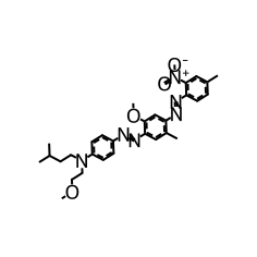 COCCN(CCC(C)C)c1ccc(N=Nc2cc(C)c(N=Nc3ccc(C)cc3[N+](=O)[O-])cc2OC)cc1